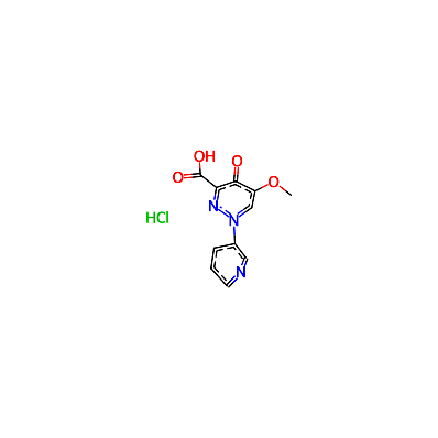 COc1cn(-c2cccnc2)nc(C(=O)O)c1=O.Cl